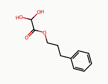 O=C(OCCCc1ccccc1)C(O)O